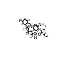 CCOC(=O)Nc1ccc(NCc2ccc(F)cc2)nc1N.O=C(O)CC(=O)O